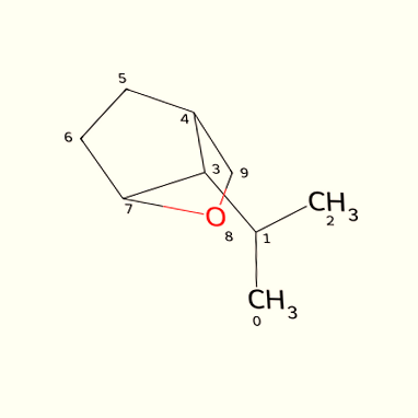 CC(C)C1C2CCC1OC2